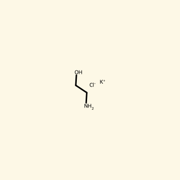 NCCO.[Cl-].[K+]